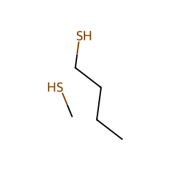 CCCCS.CS